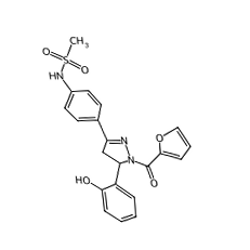 CS(=O)(=O)Nc1ccc(C2=NN(C(=O)c3ccco3)C(c3ccccc3O)C2)cc1